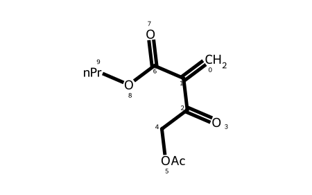 C=C(C(=O)COC(C)=O)C(=O)OCCC